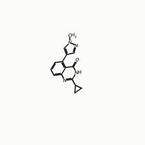 Cn1cc(-c2cccc3nc(C4CC4)[nH]c(=O)c23)cn1